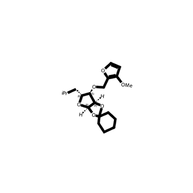 COc1ccoc1CO[C@@H]1[C@H]2OC3(CCCCC3)O[C@H]2O[C@@H]1CC(C)C